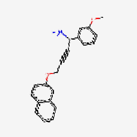 COc1cccc(C(N)C#CCOc2ccc3ccccc3c2)c1